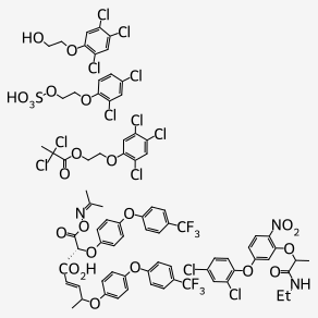 CC(/C=C/C(=O)O)Oc1ccc(Oc2ccc(C(F)(F)F)cc2)cc1.CC(C)=NOC(=O)[C@@H](C)Oc1ccc(Oc2ccc(C(F)(F)F)cc2)cc1.CC(Cl)(Cl)C(=O)OCCOc1cc(Cl)c(Cl)cc1Cl.CCNC(=O)C(C)Oc1cc(Oc2ccc(Cl)cc2Cl)ccc1[N+](=O)[O-].O=S(=O)(O)OCCOc1ccc(Cl)cc1Cl.OCCOc1cc(Cl)c(Cl)cc1Cl